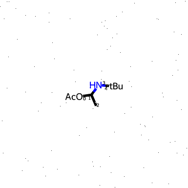 CC(=O)OC(C)NC(C)(C)C